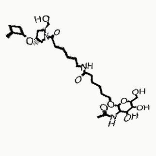 CC(=O)NC1C(OCCCCCC(=O)NCCCCCC(=O)N2C[C@H](OC3CCC3C)C[C@H]2CO)OC(CO)C(O)C1O